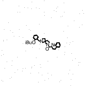 CC(C)COc1ccccc1CN1CCC2(CCN(C(=O)c3ccc4ccccc4n3)C2)C1